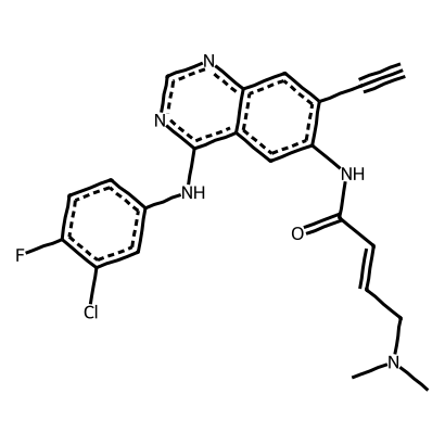 C#Cc1cc2ncnc(Nc3ccc(F)c(Cl)c3)c2cc1NC(=O)/C=C/CN(C)C